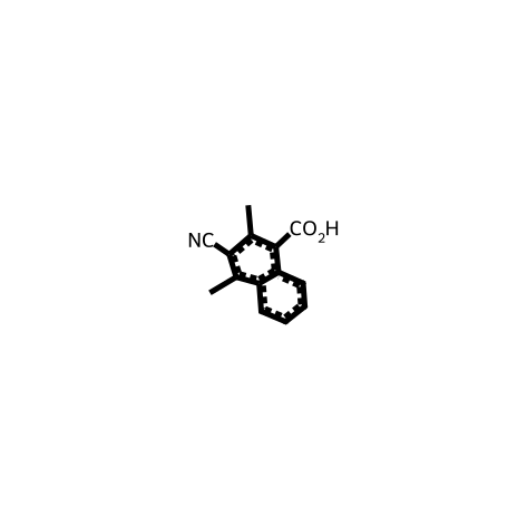 Cc1c(C#N)c(C)c2ccccc2c1C(=O)O